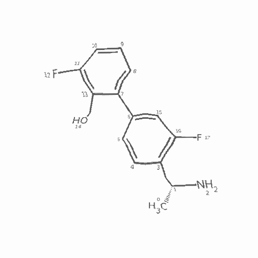 C[C@@H](N)c1ccc(-c2cccc(F)c2O)cc1F